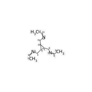 C/C=N\CC1C(C/N=C\C)C1C/N=C\C